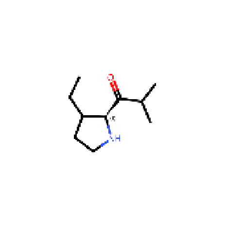 CCC1CCN[C@@H]1C(=O)C(C)C